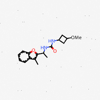 COC1CC(NC(=O)NC(C)c2oc3ccccc3c2C)C1